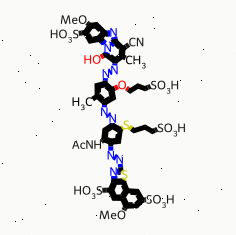 COc1cc2nc3c(C#N)c(C)c(N=Nc4cc(C)c(N=Nc5cc(NC(C)=O)c(N=Nc6nc7c(S(=O)(=O)O)cc8c(OC)cc(S(=O)(=O)O)cc8c7s6)cc5SCCCS(=O)(=O)O)cc4OCCCS(=O)(=O)O)c(O)n3c2cc1S(=O)(=O)O